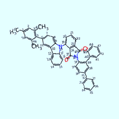 Cc1cc(C)c(-c2ccc3c(c2)c2ccccc2n3-c2cccc3c2C(=O)N(c2ccc(-c4ccccc4)cc2-c2ccccc2)C3=O)c(C)c1